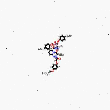 CCC[C@H](NC(=O)[C@@H]1CCCCN1C(=O)[C@@H](NC(=O)COc1ccc(OCC(=O)O)cc1)C(C)(C)C)P(=O)(OOc1ccc(SC)cc1)OOc1ccc(SC)cc1